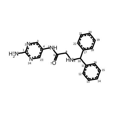 Nc1ncc(NC(=O)CNC(c2ccccc2)c2ccccc2)cn1